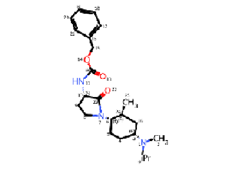 CC(C)N(C)[C@@H]1CC[C@H](N2CC[C@H](NC(=O)OCc3ccccc3)C2=O)[C@@H](C)C1